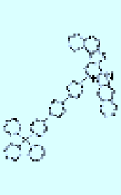 c1ccc(C2(c3ccccc3)c3ccccc3-c3cc(-c4ccc(-c5ccc(-c6cc7c(sc8ccc9ccccc9c87)c7nc8cc9ccccc9cc8n67)cc5)cc4)ccc32)cc1